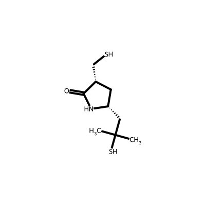 CC(C)(S)C[C@H]1C[C@@H](CS)C(=O)N1